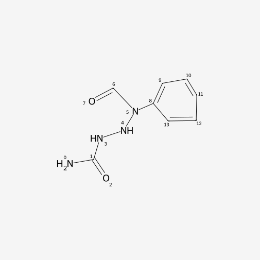 NC(=O)NNN(C=O)c1ccccc1